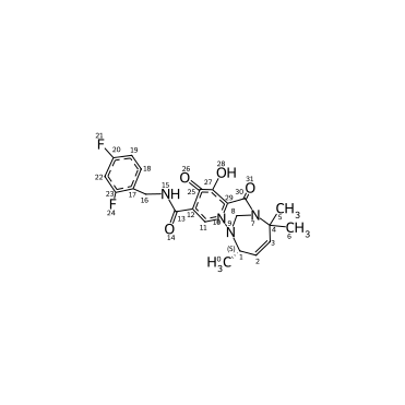 C[C@H]1C=CC(C)(C)N2CN1n1cc(C(=O)NCc3ccc(F)cc3F)c(=O)c(O)c1C2=O